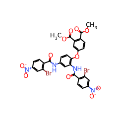 COC(=O)c1ccc(Oc2ccc(NC(=O)c3ccc([N+](=O)[O-])cc3Br)cc2NC(=O)c2ccc([N+](=O)[O-])cc2Br)cc1C(=O)OC